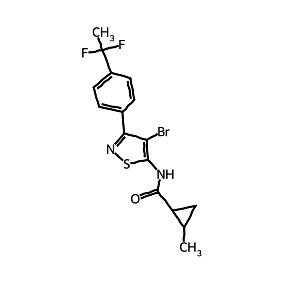 CC1CC1C(=O)Nc1snc(-c2ccc(C(C)(F)F)cc2)c1Br